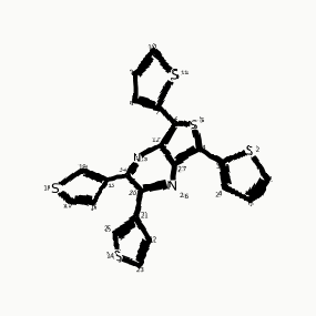 c1csc(-c2sc(-c3cccs3)c3nc(-c4ccsc4)c(-c4ccsc4)nc23)c1